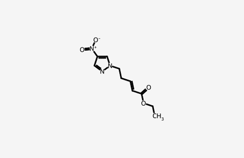 CCOC(=O)C=CCCn1cc([N+](=O)[O-])cn1